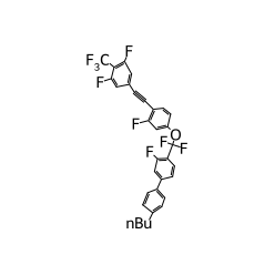 CCCCc1ccc(-c2ccc(C(F)(F)Oc3ccc(C#Cc4cc(F)c(C(F)(F)F)c(F)c4)c(F)c3)c(F)c2)cc1